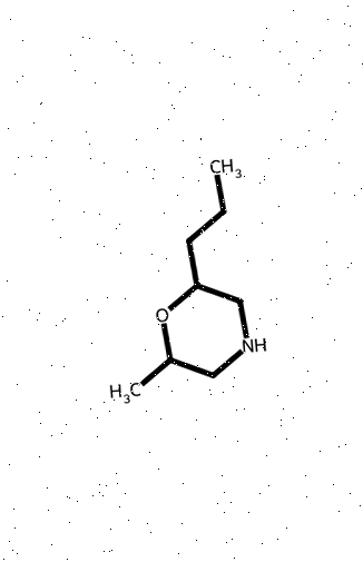 CCCC1CNCC(C)O1